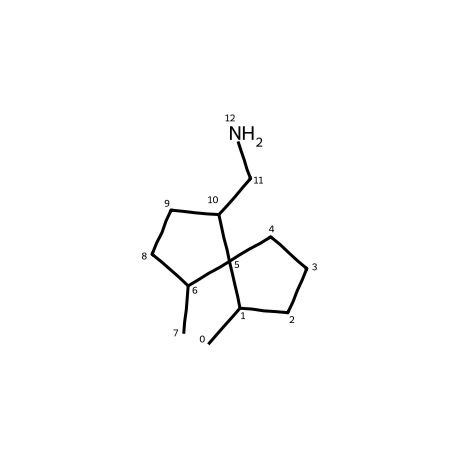 CC1CCCC12C(C)CCC2CN